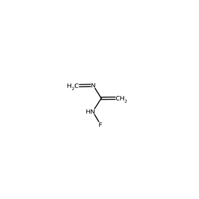 C=NC(=C)NF